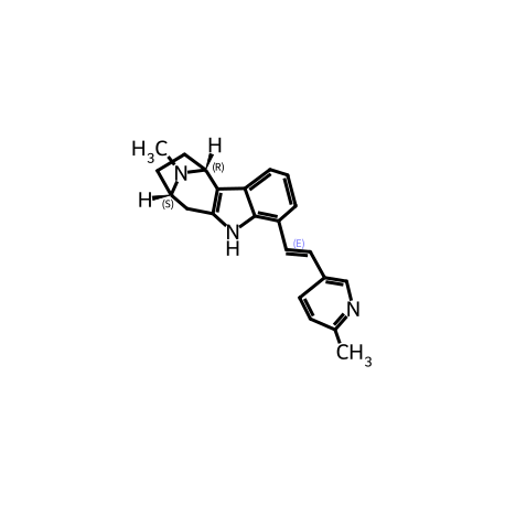 Cc1ccc(/C=C/c2cccc3c4c([nH]c23)C[C@@H]2CC[C@H]4N2C)cn1